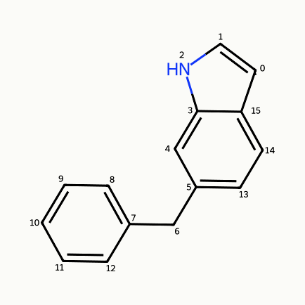 [c]1c[nH]c2cc(Cc3ccccc3)ccc12